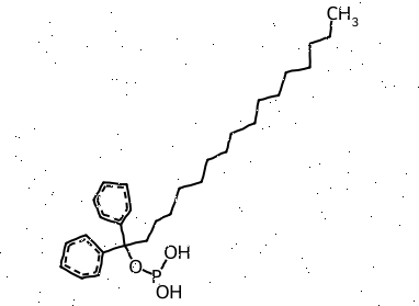 CCCCCCCCCCCCCCCCC(OP(O)O)(c1ccccc1)c1ccccc1